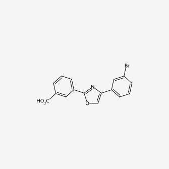 O=C(O)c1cccc(-c2nc(-c3cccc(Br)c3)co2)c1